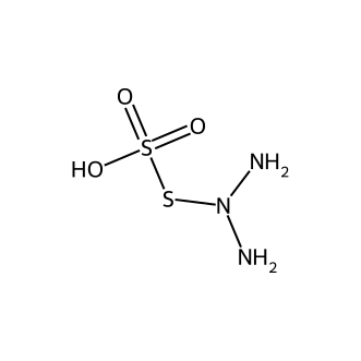 NN(N)SS(=O)(=O)O